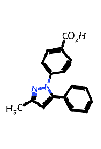 Cc1cc(-c2ccccc2)n(-c2ccc(C(=O)O)cc2)n1